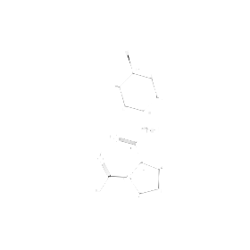 CC(=O)N1CCC[C@H]1C(=O)N[C@H]1CC[C@H](C)CC1